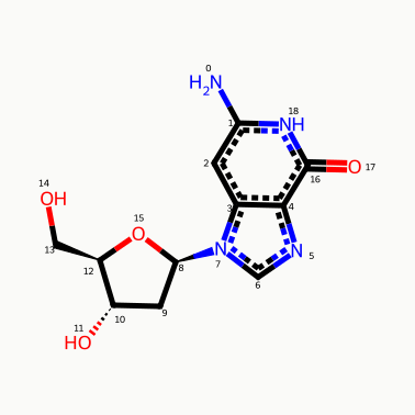 Nc1cc2c(ncn2[C@H]2C[C@H](O)[C@@H](CO)O2)c(=O)[nH]1